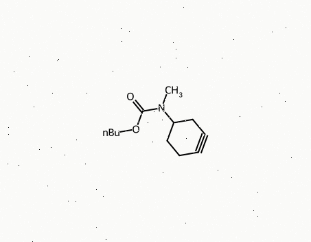 CCCCOC(=O)N(C)C1CC#CCC1